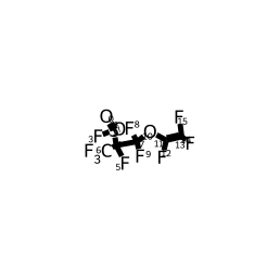 O=S(=O)(F)C(F)(C(F)(F)F)C(F)(F)OC(F)=C(F)F